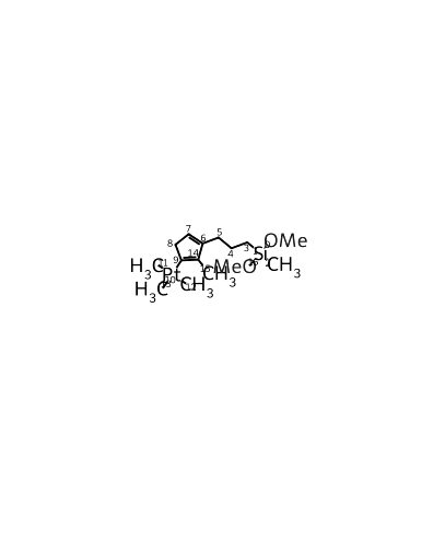 CO[Si](C)(CCCC1=CC[C]([Pt]([CH3])([CH3])[CH3])=C1C)OC